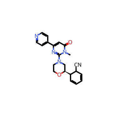 Cn1c(N2CCO[C@H](C3C=CC=CC3C#N)C2)nc(-c2ccncc2)cc1=O